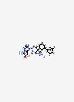 Cc1cccc(-c2cccc(C3(CN)CCN(c4ncnc5c4CC(=O)N5)CC3)c2)c1